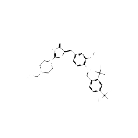 CCN1CCN(C2=NC(=O)C(=Cc3ccc(OCc4ccc(C(F)(F)F)cc4C(F)(F)F)c(OC)c3)S2)CC1